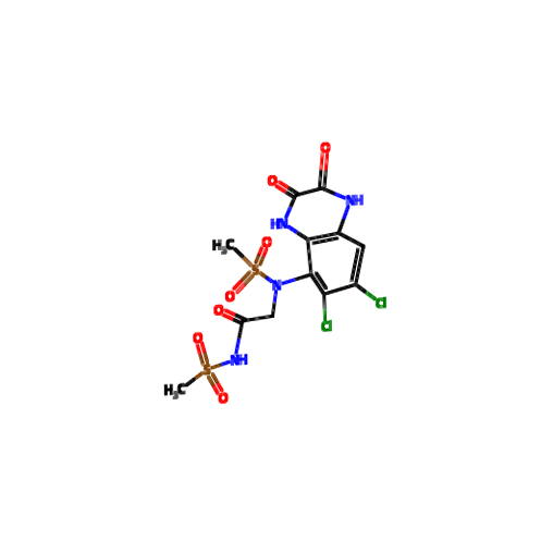 CS(=O)(=O)NC(=O)CN(c1c(Cl)c(Cl)cc2[nH]c(=O)c(=O)[nH]c12)S(C)(=O)=O